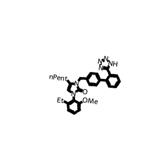 CCCCCc1cn(-c2c(CC)cccc2OC)c(=O)n1Cc1ccc(-c2ccccc2-c2nnn[nH]2)cc1